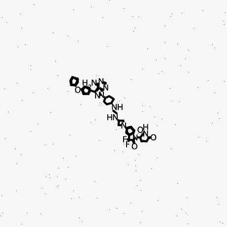 Nc1ncnc2c1c(-c1ccc(Oc3ccccc3)cc1)nn2C1CCC(NCCNC2CN(c3ccc4c(c3)C(F)(F)C(=O)N4C3CCC(=O)NC3=O)C2)CC1